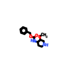 COC1CNCCC1NC(=O)OCc1ccccc1